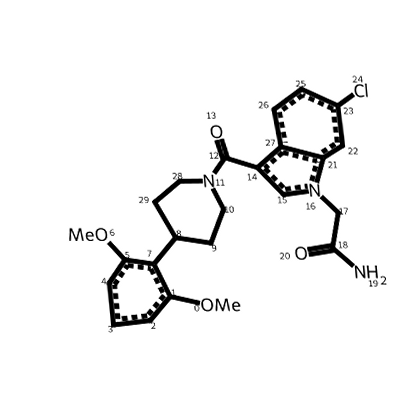 COc1cccc(OC)c1C1CCN(C(=O)c2cn(CC(N)=O)c3cc(Cl)ccc23)CC1